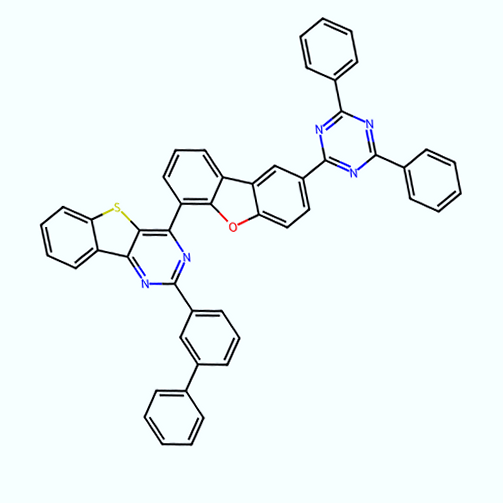 c1ccc(-c2cccc(-c3nc(-c4cccc5c4oc4ccc(-c6nc(-c7ccccc7)nc(-c7ccccc7)n6)cc45)c4sc5ccccc5c4n3)c2)cc1